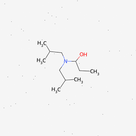 CCC(O)N(CC(C)C)CC(C)C